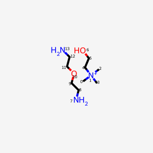 C[N+](C)(C)CCO.NCCOCCN